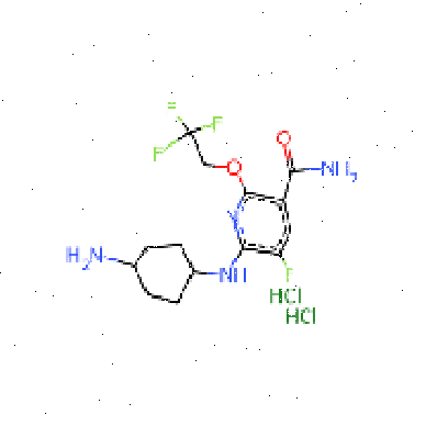 Cl.Cl.NC(=O)c1cc(F)c(NC2CCC(N)CC2)nc1OCC(F)(F)F